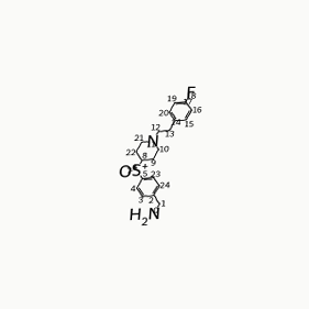 NCc1ccc([S+]([O-])C2CCN(CCc3ccc(F)cc3)CC2)cc1